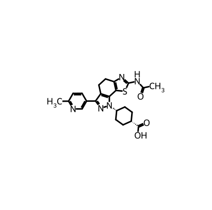 CC(=O)Nc1nc2c(s1)-c1c(c(-c3ccc(C)nc3)nn1[C@H]1CC[C@@H](C(=O)O)CC1)CC2